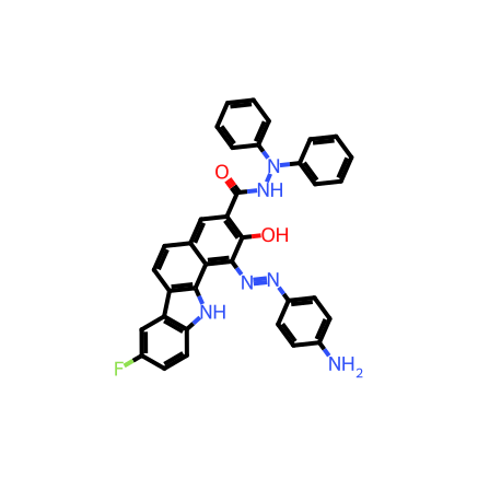 Nc1ccc(N=Nc2c(O)c(C(=O)NN(c3ccccc3)c3ccccc3)cc3ccc4c5cc(F)ccc5[nH]c4c23)cc1